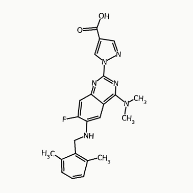 Cc1cccc(C)c1CNc1cc2c(N(C)C)nc(-n3cc(C(=O)O)cn3)nc2cc1F